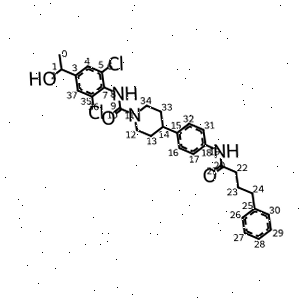 CC(O)c1cc(Cl)c(NC(=O)N2CCC(c3ccc(NC(=O)CCCc4ccccc4)cc3)CC2)c(Cl)c1